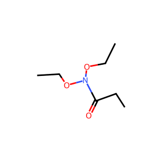 CCON(OCC)C(=O)CC